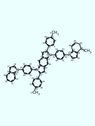 Cc1ccc(-c2cc3cc4c(cc(-c5ccc(C)cc5)n4-c4ccc(-n5ccc6ccccc65)cc4)cc3n2-c2ccc(-n3ccc4c3C=CCC4C)cc2)cc1